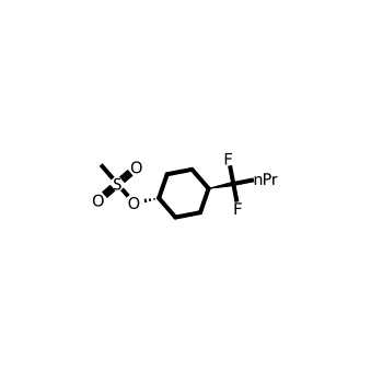 CCCC(F)(F)[C@H]1CC[C@H](OS(C)(=O)=O)CC1